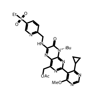 CC[C@@H](C)n1c(=O)c(NCc2ccc(S(=O)(=O)CC)cn2)nc2c(COC(C)=O)nc(-c3c(OC)ncnc3C3CC3)nc21